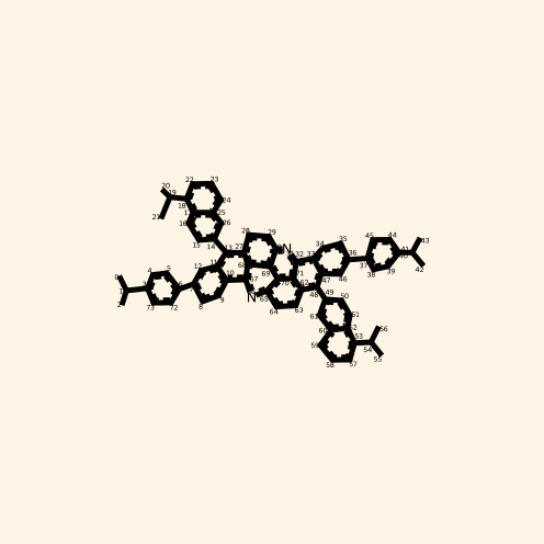 CC(C)c1ccc(-c2ccc3c(c2)c(-c2ccc4c(C(C)C)cccc4c2)c2ccc4nc5c6ccc(-c7ccc(C(C)C)cc7)cc6c(-c6ccc7c(C(C)C)cccc7c6)c6ccc7nc3c2c4c7c65)cc1